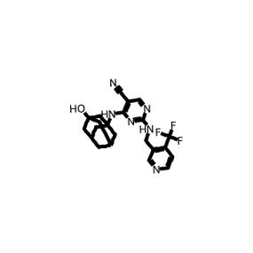 N#Cc1cnc(NCc2cnccc2C(F)(F)F)nc1NC12CC3CC(CC(O)(C3)C1)C2